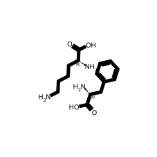 NCCCC[C@@H](N)C(=O)O.N[C@H](Cc1ccccc1)C(=O)O